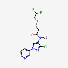 CCN(C(=O)CCSCC(F)F)c1cn(-c2cccnc2)nc1Cl